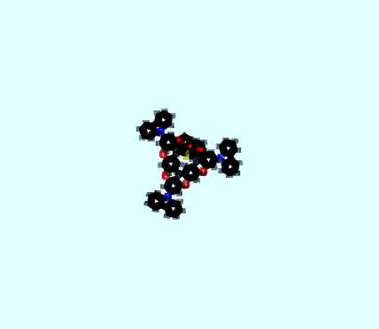 c1ccc2c3c(sc2c1)B1c2cc4c(cc2Oc2cc(-n5c6ccccc6c6ccccc65)cc(c21)O3)Oc1cc(-n2c3ccccc3c3ccccc32)cc2c1B4c1cc3c(cc1O2)Oc1cc(-n2c4ccccc4c4ccccc42)cc2c1B3c1sc3ccccc3c1O2